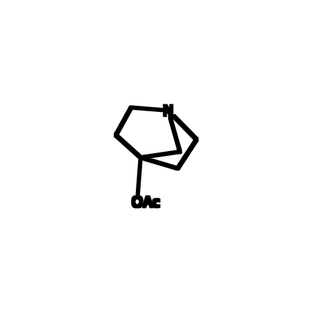 CC(=O)OC12CCN(CC1)C2